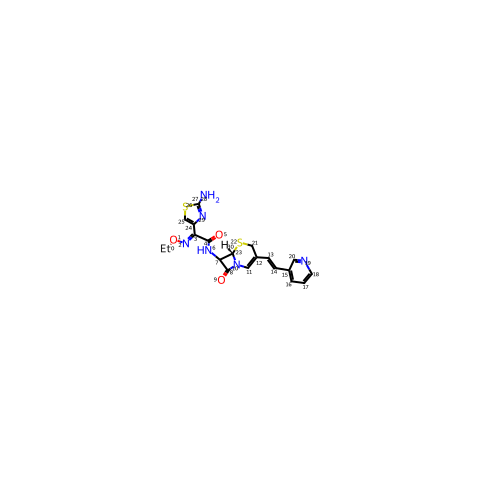 CCON=C(C(=O)NC1C(=O)N2C=C(C=Cc3cccnc3)CS[C@@H]12)c1csc(N)n1